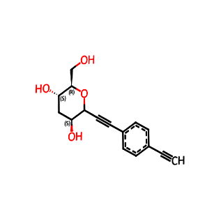 C#Cc1ccc(C#CC2O[C@H](CO)[C@@H](O)C[C@@H]2O)cc1